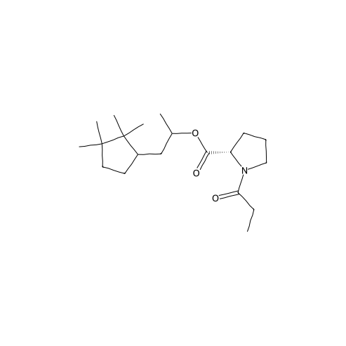 CCC(=O)N1CCC[C@H]1C(=O)OC(C)CC1CCC(C)(C)C1(C)C